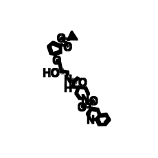 O=S(=O)(c1cccc(OC[C@@H](O)CN[C@H]2COC3(CCN(S(=O)(=O)c4cnc5ccccc5c4)CC3)C2)c1)C1CC1